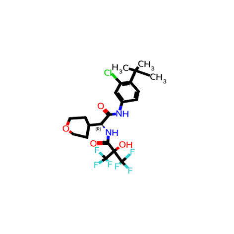 CC(C)(C)c1ccc(NC(=O)[C@H](NC(=O)C(O)(C(F)(F)F)C(F)(F)F)C2CCOCC2)cc1Cl